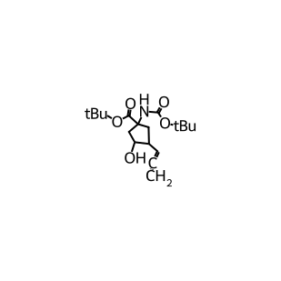 C=C=CC1CC(NC(=O)OC(C)(C)C)(C(=O)OC(C)(C)C)CC1O